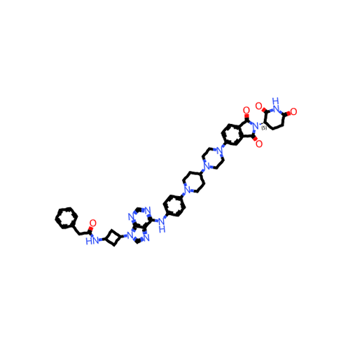 O=C1CC[C@H](N2C(=O)c3ccc(N4CCN(C5CCN(c6ccc(Nc7ncnc8c7ncn8C7CC(NC(=O)Cc8ccccc8)C7)cc6)CC5)CC4)cc3C2=O)C(=O)N1